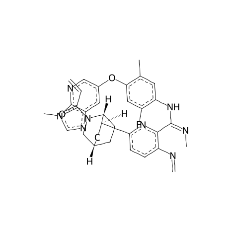 C=CC(=O)N1C[C@H]2CC[C@@H]1[C@@H](c1ccc(N=C)c(/C(=N\C)Nc3cc(C)c(Oc4cnc5c(c4)ncn5C)cc3F)n1)C2